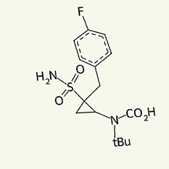 CC(C)(C)N(C(=O)O)C1CC1(Cc1ccc(F)cc1)S(N)(=O)=O